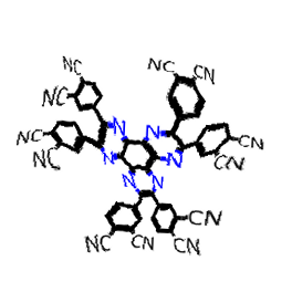 N#Cc1ccc(-c2nc3c(nc2C2=CC(C#N)C(C#N)C=C2)c2nc(-c4ccc(C#N)c(C#N)c4)c(-c4ccc(C#N)c(C#N)c4)nc2c2nc(-c4ccc(C#N)c(C#N)c4)c(-c4ccc(C#N)c(C#N)c4)nc32)cc1C#N